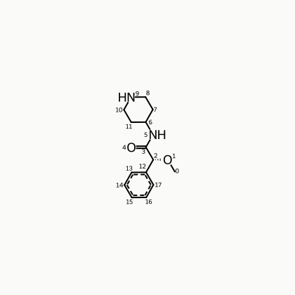 CO[C@@H](C(=O)NC1CCNCC1)c1ccccc1